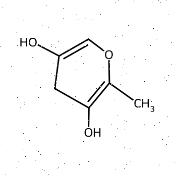 CC1=C(O)CC(O)=CO1